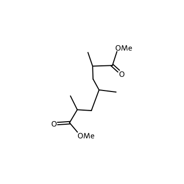 COC(=O)C(C)CC(C)CC(C)C(=O)OC